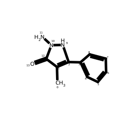 Cc1c(-c2ccccc2)[nH]n(N)c1=O